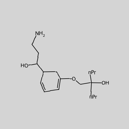 CCCC(O)(CCC)COC1=CC=CC(C(O)CCN)C1